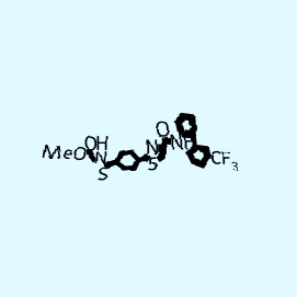 COC(=O)CNC(=S)C1CCC(c2nc(C(=O)Nc3ccccc3-c3cccc(C(F)(F)F)c3)cs2)CC1